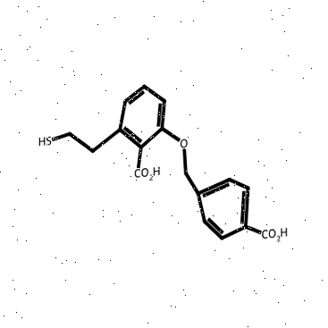 O=C(O)c1ccc(COc2cccc(CCS)c2C(=O)O)cc1